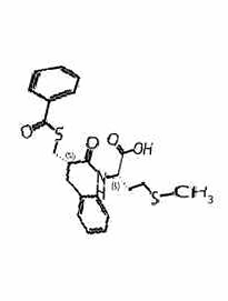 CSCC[C@H](NC(=O)[C@@H](CSC(=O)c1ccccc1)Cc1ccccc1)C(=O)O